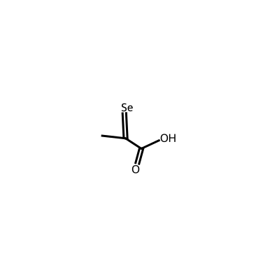 CC(=[Se])C(=O)O